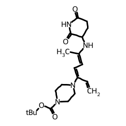 C=C/C(=C\C=C(/C)NC1CCC(=O)NC1=O)N1CCN(C(=O)OC(C)(C)C)CC1